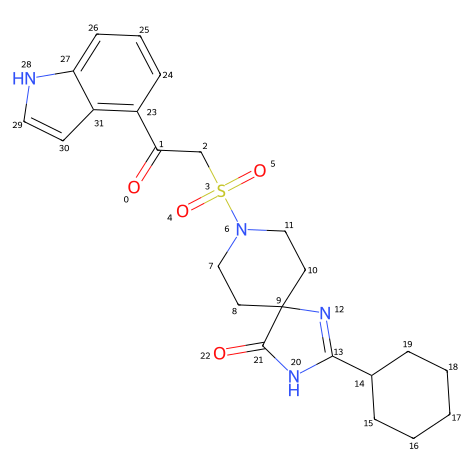 O=C(CS(=O)(=O)N1CCC2(CC1)N=C(C1CCCCC1)NC2=O)c1cccc2[nH]ccc12